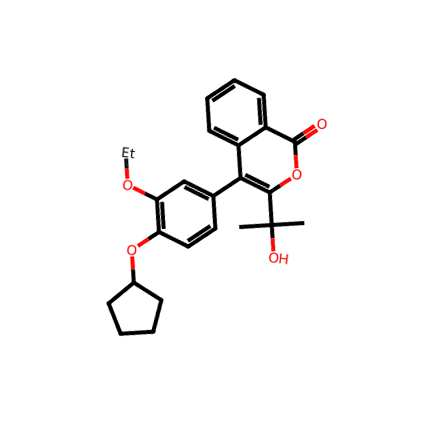 CCOc1cc(-c2c(C(C)(C)O)oc(=O)c3ccccc23)ccc1OC1CCCC1